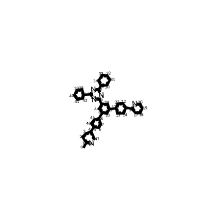 Cc1ccc(-c2ccc(-c3cc(-c4ccc(-c5ccccn5)cc4)cc(-c4nc(-c5ccccc5)nc(-c5ccccc5)n4)c3)cc2)cn1